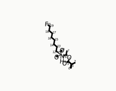 C=C(C)C(=O)OC(C)NS(=O)(=O)CCCCCCCCF